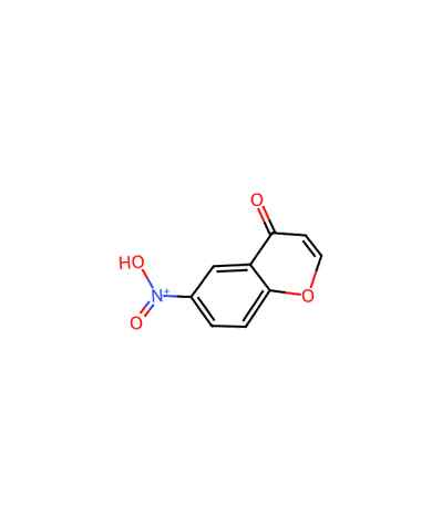 O=c1ccoc2ccc([N+](=O)O)cc12